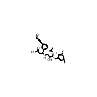 CC(=O)N[C@@H](Cc1cc(F)cc(F)c1)[C@H](O)CNC(CC(=O)O)c1cccc(C#CCO)c1